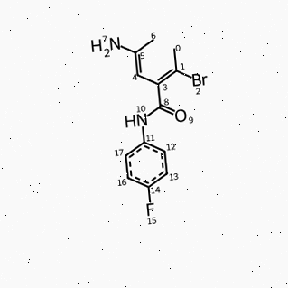 C/C(Br)=C(\C=C(/C)N)C(=O)Nc1ccc(F)cc1